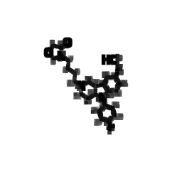 Cl.O=C1COCN1CCCCN1CCC2C(C1)c1cc(F)ccc1N2c1ccc(F)cc1